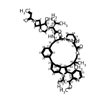 C=CC(=O)N1CC2(C1)OCN([C@H](C(=O)N[C@H]1Cc3cccc(c3)-c3ccc4c(c3)c(c(-c3cccnc3[C@H](C)OC)n4CC)CC(C)(C)COC(=O)[C@@H]3CCCN(N3)C1=O)C(C)C)C2O